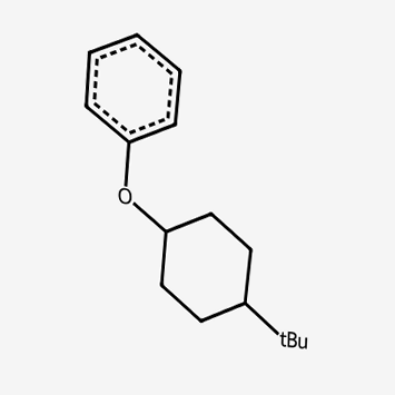 CC(C)(C)C1CCC(Oc2ccccc2)CC1